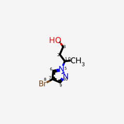 CC(CCO)n1cc(Br)cn1